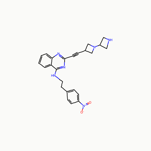 O=[N+]([O-])c1ccc(CCNc2nc(C#CC3CN(C4CNC4)C3)nc3ccccc23)cc1